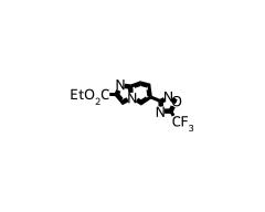 CCOC(=O)c1cn2cc(-c3noc(C(F)(F)F)n3)ccc2n1